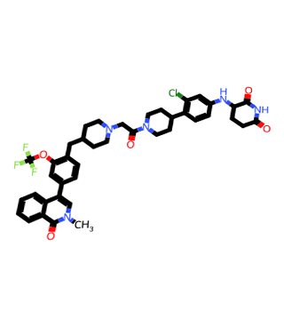 Cn1cc(-c2ccc(CC3CCN(CC(=O)N4CCC(c5ccc(NC6CCC(=O)NC6=O)cc5Cl)CC4)CC3)c(OC(F)(F)F)c2)c2ccccc2c1=O